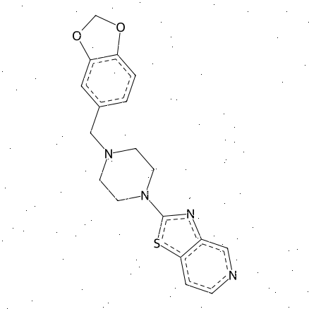 c1cc2sc(N3CCN(Cc4ccc5c(c4)OCO5)CC3)nc2cn1